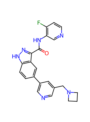 O=C(Nc1cnccc1F)c1n[nH]c2ccc(-c3cncc(CN4CCC4)c3)cc12